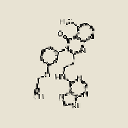 C#CCOc1cccc(-n2c(CCNc3ncnc4[nH]cnc34)nc3cccc(C)c3c2=O)c1